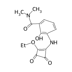 CCOc1c(Nc2cccc(C(=O)N(C)C)c2O)c(=O)c1=O